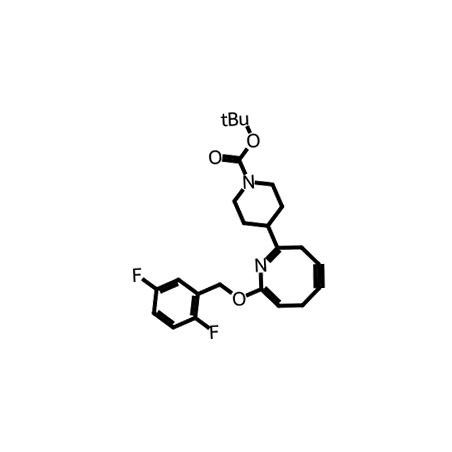 CC(C)(C)OC(=O)N1CCC(/C2=N/C(OCc3cc(F)ccc3F)=C\CC#CC2)CC1